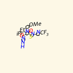 CCc1ccc(OC)cc1-n1c(CC(C)C)c(C(=O)N2CCNCC2)cc(-c2nc(-c3ccc(C(F)(F)F)nc3)cs2)c1=O